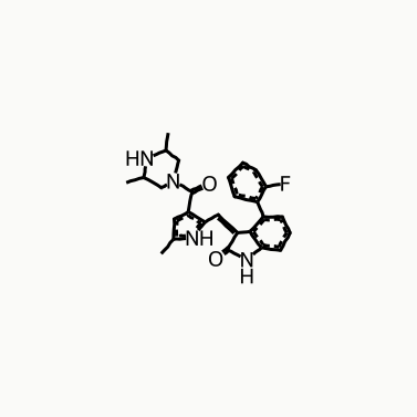 Cc1cc(C(=O)N2CC(C)NC(C)C2)c(C=C2C(=O)Nc3cccc(-c4ccccc4F)c32)[nH]1